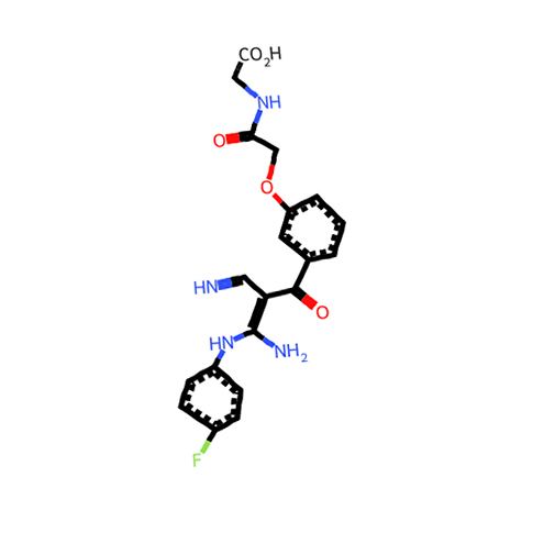 N=C/C(C(=O)c1cccc(OCC(=O)NCC(=O)O)c1)=C(/N)Nc1ccc(F)cc1